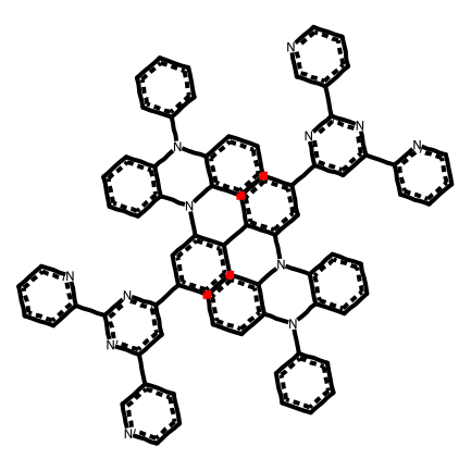 c1ccc(N2c3ccccc3N(c3cc(-c4cc(-c5ccccn5)nc(-c5cccnc5)n4)ccc3-c3ccc(-c4cc(-c5cccnc5)nc(-c5ccccn5)n4)cc3N3c4ccccc4N(c4ccccc4)c4ccccc43)c3ccccc32)cc1